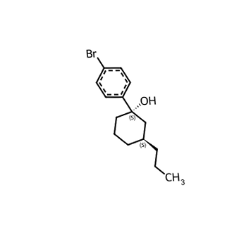 CCC[C@H]1CCC[C@@](O)(c2ccc(Br)cc2)C1